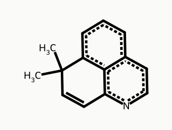 CC1(C)C=Cc2nccc3cccc1c23